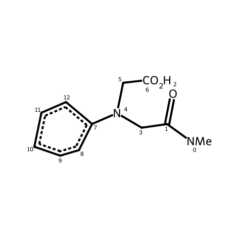 CNC(=O)CN(CC(=O)O)c1ccccc1